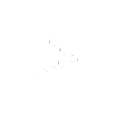 CN1CCN(c2ccc(-c3ccccc3)c(C(=O)/C=C/c3ccc(O)cc3)c2)CC1